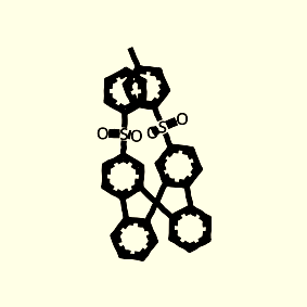 Cc1ccc(S(=O)(=O)c2ccc3c(c2)C2(c4ccccc4-c4ccc(S(=O)(=O)c5ccccc5)cc42)c2ccccc2-3)cc1